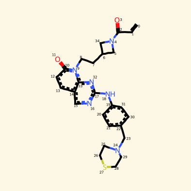 C=CC(=O)N1CC(CCn2c(=O)ccc3cnc(Nc4ccc(CN5CCSCC5)cc4)nc32)C1